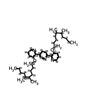 CCCCC(C)C(C)CCC[SiH2]Oc1cccnc1-c1ccc(-c2ncccc2O[SiH2]CCCC(C)C(C)CCCC)nn1